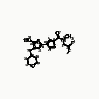 CN(CC(F)F)C(=O)c1cc(-c2cn(CC3CCOCC3)c(C(C)(C)C)n2)cs1